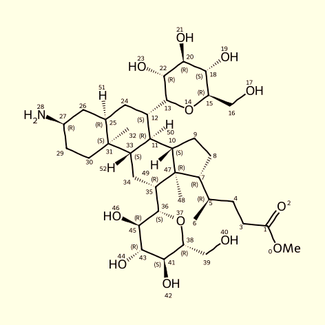 COC(=O)CC[C@@H](C)[C@H]1CC[C@H]2[C@@H]3[C@@H](C4O[C@H](CO)[C@@H](O)[C@H](O)[C@H]4O)C[C@@H]4C[C@H](N)CC[C@]4(C)[C@H]3C[C@@H]([C@@H]3O[C@H](CO)[C@@H](O)[C@H](O)[C@H]3O)[C@]12C